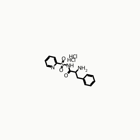 Cl.Cl.NC(Cc1ccccc1)C(=O)NS(=O)(=O)c1ccccn1